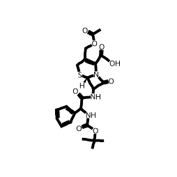 CC(=O)OCC1=C(C(=O)O)N2C(=O)C(NC(=O)C(NC(=O)OC(C)(C)C)c3ccccc3)[C@@H]2SC1